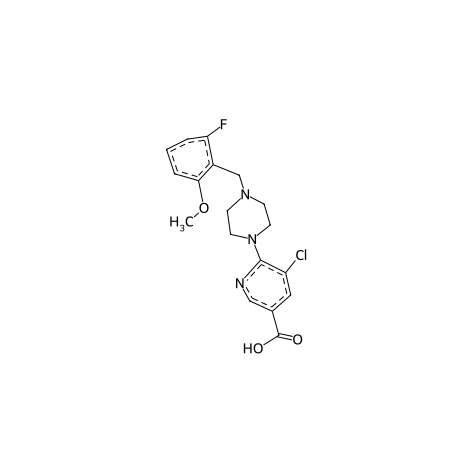 COc1cccc(F)c1CN1CCN(c2ncc(C(=O)O)cc2Cl)CC1